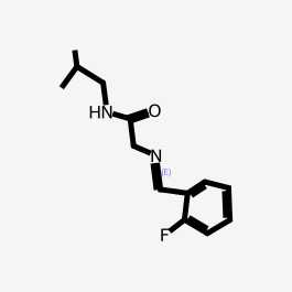 CC(C)CNC(=O)C/N=C/c1ccccc1F